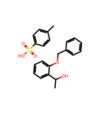 CC(O)c1ccccc1OCc1ccccc1.Cc1ccc(S(=O)(=O)O)cc1